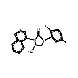 N#C[C@@H]1CN(c2cc(F)ccc2F)C(=O)N1c1cncc2ccccc12